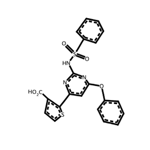 O=C(O)c1ccsc1-c1cc(Oc2ccccc2)nc(NS(=O)(=O)c2ccccc2)n1